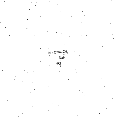 C=O.Cl.[NaH].[Ni]